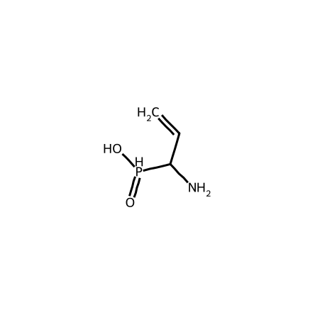 C=CC(N)[PH](=O)O